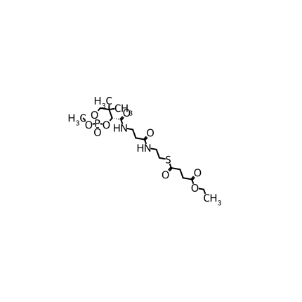 CCOC(=O)CCC(=O)SCCNC(=O)CCNC(=O)[C@@H]1OP(=O)(OC)OCC1(C)C